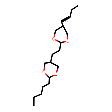 CC/C=C/C1COC(CCC2COC(CCCCC)OC2)OC1